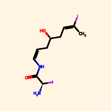 C/C(I)=C\C[C@H](O)C/C=C\NC(=O)[C@@H](N)I